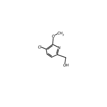 COc1nc(CO)ccc1Cl